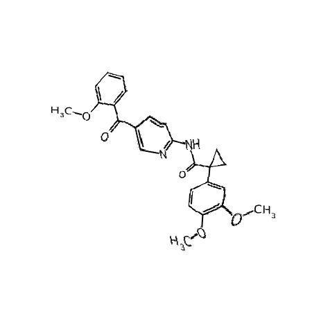 COc1ccc(C2(C(=O)Nc3ccc(C(=O)c4ccccc4OC)cn3)CC2)cc1OC